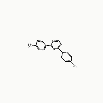 CC1=CCC(c2ncnc(-c3ccc(C)cc3)n2)C=C1